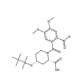 COc1cc(C(=O)N2CC[C@@H](O[Si](C)(C)C(C)(C)C)C[C@H]2C(=O)O)c([N+](=O)[O-])cc1OC